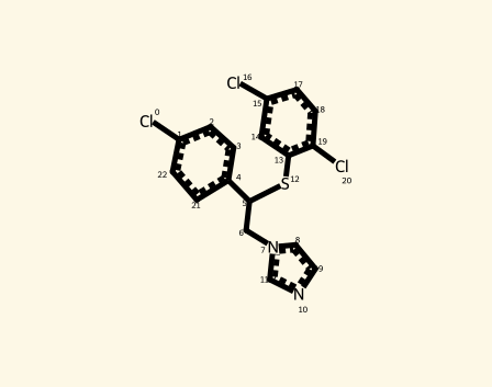 Clc1ccc(C(Cn2ccnc2)Sc2cc(Cl)ccc2Cl)cc1